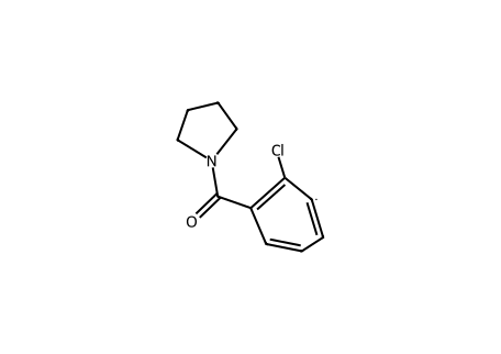 O=C(c1ccc[c]c1Cl)N1CCCC1